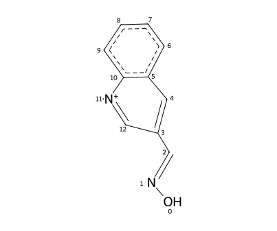 ON=CC1=Cc2ccccc2[N+]=C1